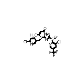 Cc1cc(=O)n2nc([S+]([O-])c3ncc(C(F)(F)F)cc3Cl)nc2n1Cc1ccc(Cl)nc1